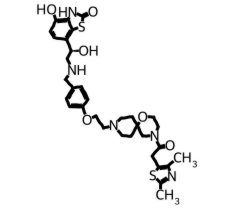 Cc1nc(C)c(CC(=O)N2CCOC3(CCN(CCOc4ccc(CNC[C@H](O)c5ccc(O)c6[nH]c(=O)sc56)cc4)CC3)C2)s1